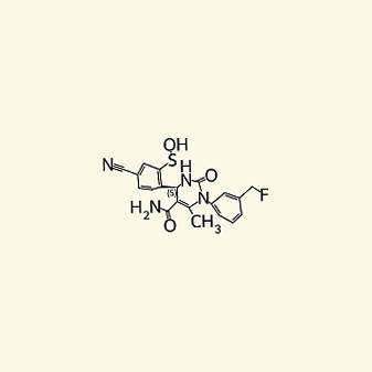 CC1=C(C(N)=O)[C@@H](c2ccc(C#N)cc2SO)NC(=O)N1c1cccc(CF)c1